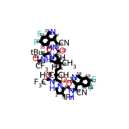 CC(C)C1CCN(C(=O)[C@@H](NC(=O)C(F)(F)F)C(C)(C)CCC2(C)[C@@H]3[C@@H](C(=O)N[C@@H](C#N)c4cncc5c(F)c(F)ccc45)N(C(=O)[C@@H](NC(=O)C(F)(F)F)C(C)(C)C)C[C@H]32)[C@@H]1C(=O)N[C@@H](C#N)c1cncc2cc(F)c(F)cc12